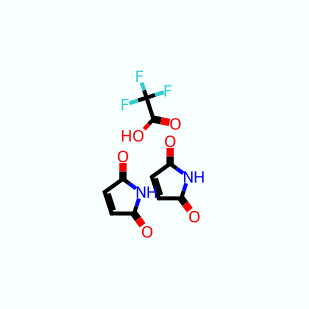 O=C(O)C(F)(F)F.O=C1C=CC(=O)N1.O=C1C=CC(=O)N1